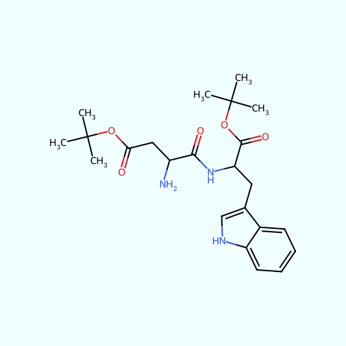 CC(C)(C)OC(=O)CC(N)C(=O)NC(Cc1c[nH]c2ccccc12)C(=O)OC(C)(C)C